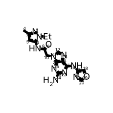 CCn1nc(C)cc1NC(=O)Cn1cnc2c(Nc3cocn3)nc(N)nc21